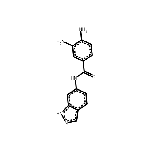 Nc1ccc(C(=O)Nc2ccc3cn[nH]c3c2)cc1N